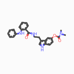 CN(C)C(=O)Oc1ccc2[nH]cc(CCNC(=O)c3ccccc3Nc3ccccc3)c2c1